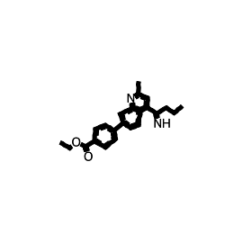 CCCC(=N)c1cc(C)nc2cc(-c3ccc(C(=O)OCC)cc3)ccc12